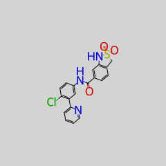 O=C(Nc1ccc(Cl)c(-c2ccccn2)c1)c1ccc2c(c1)NS(=O)(=O)C2